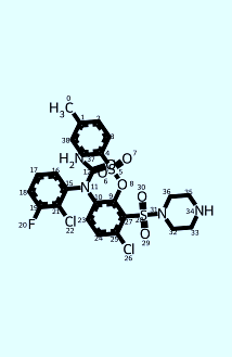 Cc1ccc(S(=O)(=O)Oc2c(N(C(N)=O)c3cccc(F)c3Cl)ccc(Cl)c2S(=O)(=O)N2CCNCC2)cc1